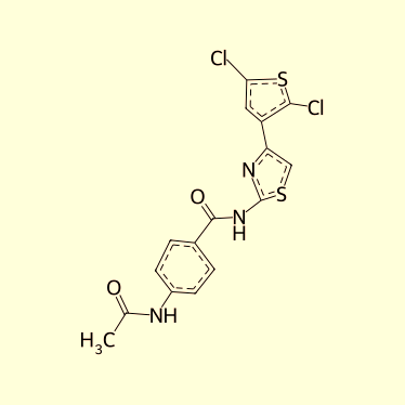 CC(=O)Nc1ccc(C(=O)Nc2nc(-c3cc(Cl)sc3Cl)cs2)cc1